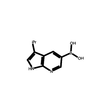 CC(C)c1c[nH]c2ncc(B(O)O)cc12